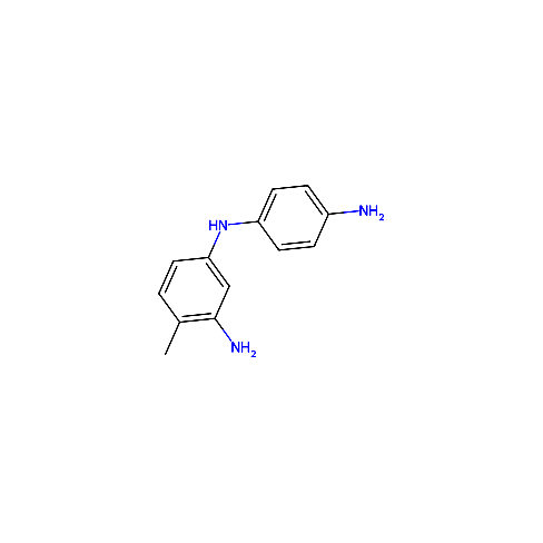 Cc1ccc(Nc2ccc(N)cc2)cc1N